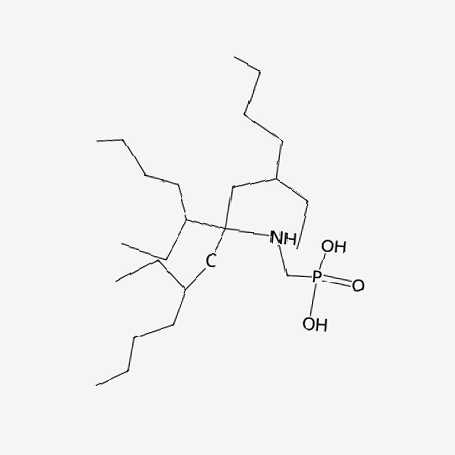 CCCCC(CC)CC(CC(CC)CCCC)(NCP(=O)(O)O)C(CC)CCCC